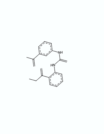 C=C(Nc1cccc(C(=C)C)c1)Nc1ccccc1C(=C)CC